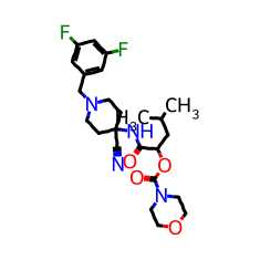 CC(C)CC(OC(=O)N1CCOCC1)C(=O)NC1(C#N)CCN(Cc2cc(F)cc(F)c2)CC1